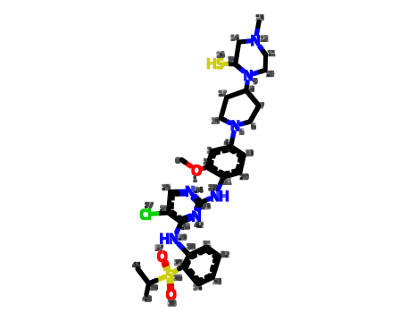 COc1cc(N2CCC(N3CCN(C)CC3S)CC2)ccc1Nc1ncc(Cl)c(Nc2ccccc2S(=O)(=O)C(C)C)n1